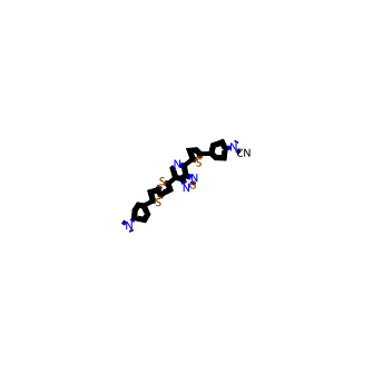 CN(C)c1ccc(-c2cc3sc(-c4cnc(-c5ccc(-c6ccc(N(C)C#N)cc6)s5)c5nsnc45)cc3s2)cc1